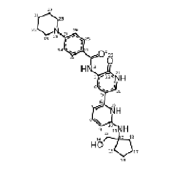 O=C(Nc1cc(C2=CC=CC(NC3(CO)CCCC3)N2)c[nH]c1=O)c1ccc(N2CCCCC2)cc1